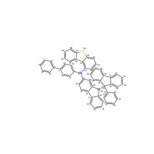 c1ccc(-c2ccc(N(c3ccc4c5ccccc5n(C5(c6ccccc6)c6ccccc6-c6ccccc65)c4c3)c3cccc4sc5ccccc5c34)cc2)cc1